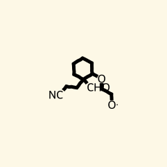 N#CCCC1(C=O)CCCCC1OCC[O]